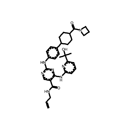 C=CCNC(=O)c1cnc(Nc2ccc(C3CCC(C(=O)N4CCC4)CC3)cc2)nc1Nc1cccc(C(C)(C)O)n1